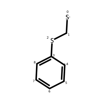 [S]CSc1[c]cccc1